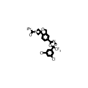 CC(C)C(=O)N1CC2(C1)OCc1cc(C3=NOC(c4cc(Cl)cc(Cl)c4)(C(F)(F)F)O3)ccc12